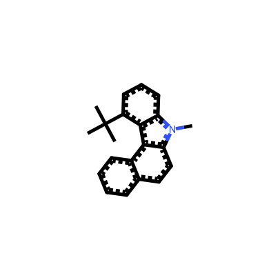 Cn1c2cccc(C(C)(C)C)c2c2c3ccccc3ccc21